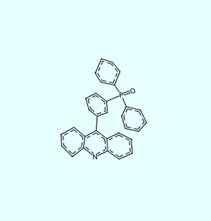 O=P(c1ccccc1)(c1ccccc1)c1cccc(-c2c3ccccc3nc3ccccc23)c1